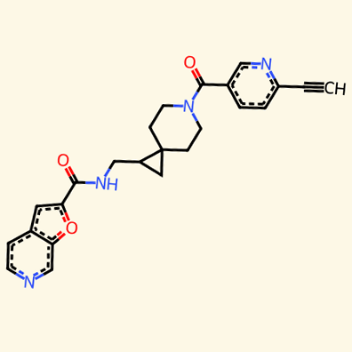 C#Cc1ccc(C(=O)N2CCC3(CC2)CC3CNC(=O)c2cc3ccncc3o2)cn1